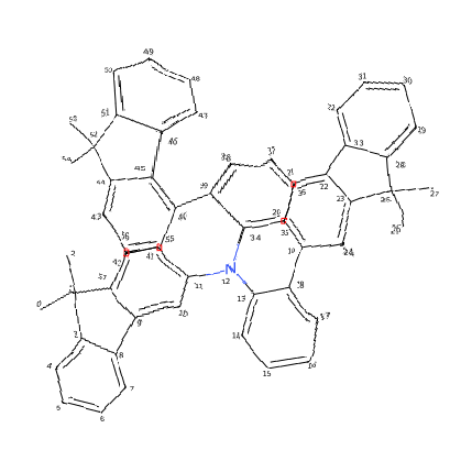 CC1(C)c2ccccc2-c2cc(N(c3ccccc3-c3ccc4c(c3)C(C)(C)c3ccccc3-4)c3ccccc3-c3cccc4c3-c3ccccc3C4(C)C)ccc21